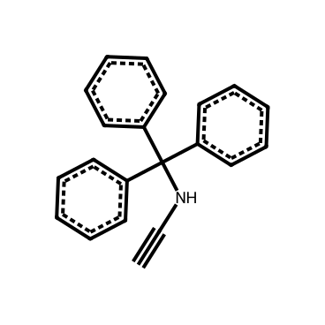 C#CNC(c1ccccc1)(c1ccccc1)c1ccccc1